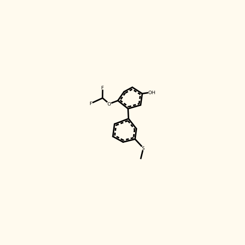 CSc1cccc(-c2cc(O)ccc2OC(F)F)c1